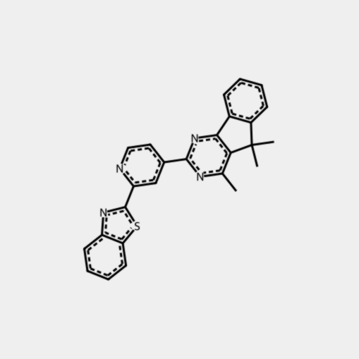 Cc1nc(-c2ccnc(-c3nc4ccccc4s3)c2)nc2c1C(C)(C)c1ccccc1-2